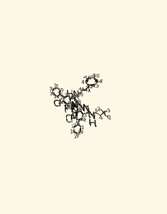 CC(C)(C)CCNc1n[nH]c2c(F)c(Cl)c(-c3ccccc3)cc12.Fc1c(Cl)c(-c2ccccc2)cc2c(NCCCc3ccccc3)n[nH]c12